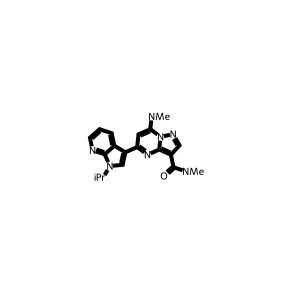 CNC(=O)c1cnn2c(NC)cc(-c3cn(C(C)C)c4ncccc34)nc12